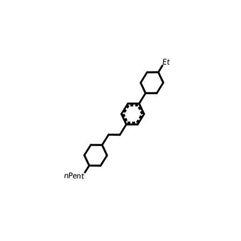 CCCCCC1CCC(CCc2ccc(C3CCC(CC)CC3)cc2)CC1